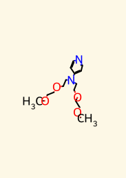 COCCOCCN(CCOCCOC)c1ccncc1